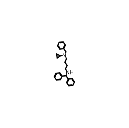 c1ccc(CN(CCCCNC(c2ccccc2)c2ccccc2)C2CC2)cc1